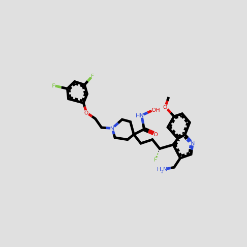 COc1ccc2ncc(CN)c([C@H](F)CCC3(C(=O)NO)CCN(CCOc4cc(F)cc(F)c4)CC3)c2c1